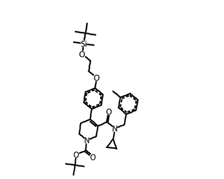 Cc1cccc(CN(C(=O)C2=C(c3ccc(OCCO[Si](C)(C)C(C)(C)C)cc3)CCN(C(=O)OC(C)(C)C)C2)C2CC2)c1